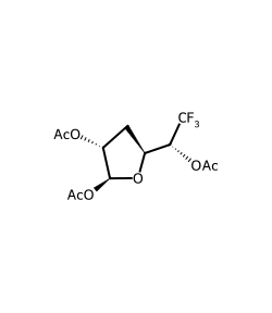 CC(=O)O[C@@H]1O[C@H]([C@@H](OC(C)=O)C(F)(F)F)C[C@H]1OC(C)=O